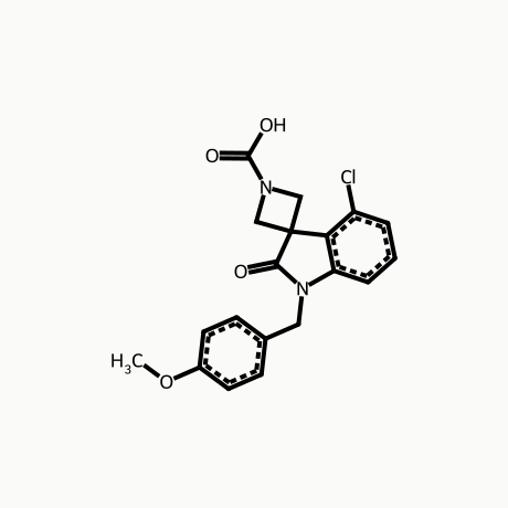 COc1ccc(CN2C(=O)C3(CN(C(=O)O)C3)c3c(Cl)cccc32)cc1